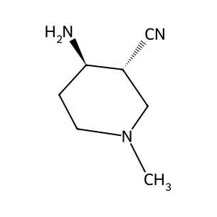 CN1CC[C@@H](N)[C@H](C#N)C1